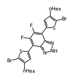 CCCCCCc1cc(-c2c(F)c(F)c(-c3cc(CCCCCC)c(Br)s3)c3n[nH]nc23)sc1Br